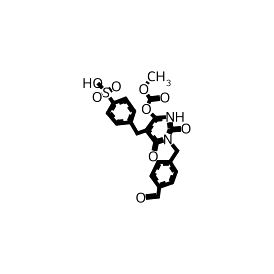 COC(=O)Oc1[nH]c(=O)n(Cc2ccc(C=O)cc2)c(=O)c1Cc1ccc(S(=O)(=O)O)cc1